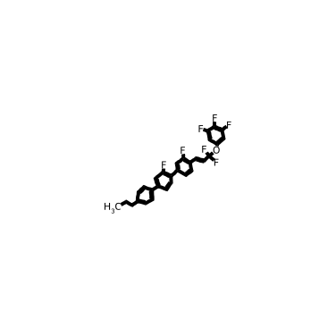 CCCc1ccc(-c2ccc(-c3ccc(/C=C/C(F)(F)Oc4cc(F)c(F)c(F)c4)c(F)c3)c(F)c2)cc1